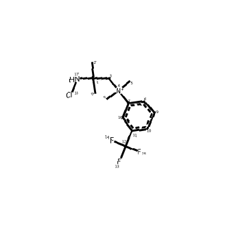 CC(C)(C[N+](C)(C)c1cccc(C(F)(F)F)c1)NCl